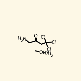 CO.NCC(=O)CC(Cl)(Cl)Cl.O